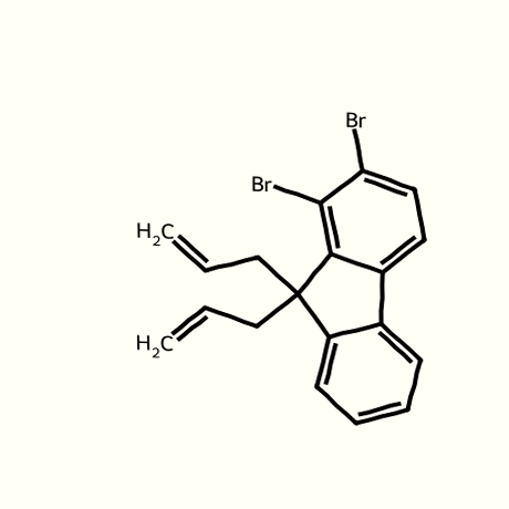 C=CCC1(CC=C)c2ccccc2-c2ccc(Br)c(Br)c21